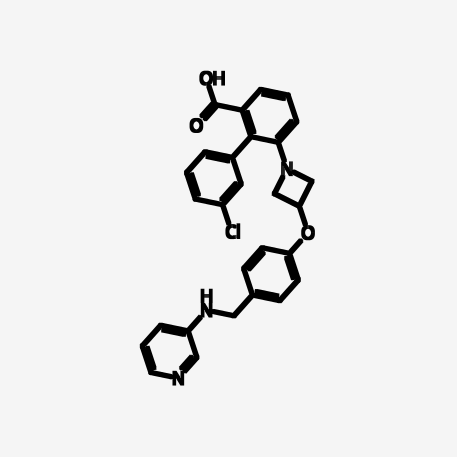 O=C(O)c1cccc(N2CC(Oc3ccc(CNc4cccnc4)cc3)C2)c1-c1cccc(Cl)c1